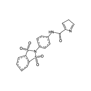 O=C(Nc1ccc(N2S(=O)(=O)c3ccccc3S2(=O)=O)cc1)C1=CCC=N1